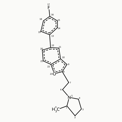 CC1CCCN1CCc1cc2cc(-c3ccc(F)cc3)ccc2o1